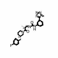 C[C@H](CNC(=O)Nc1cccc(-c2nnnn2C)c1)C(=O)N1CCC[C@@H](Cc2ccc(F)cc2)C1